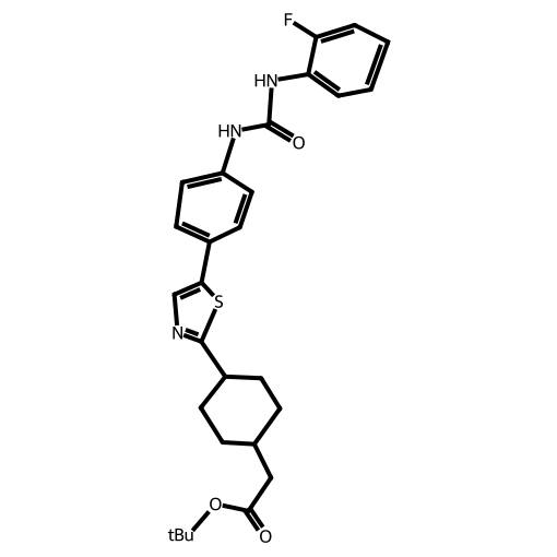 CC(C)(C)OC(=O)CC1CCC(c2ncc(-c3ccc(NC(=O)Nc4ccccc4F)cc3)s2)CC1